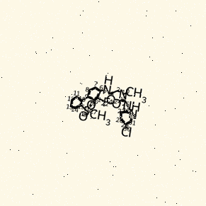 CN(CC(=O)Nc1ccc(-c2ccccc2S(C)(=O)=O)cc1F)C(=O)Nc1ccc(Cl)cn1